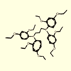 CCOc1ccc(P(CCCP(c2ccc(OCC)cc2OCC)c2ccc(OCC)cc2OCC)c2ccc(OCC)cc2OCC)c(OCC)c1